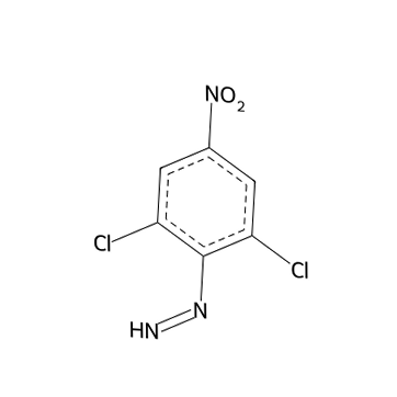 N=Nc1c(Cl)cc([N+](=O)[O-])cc1Cl